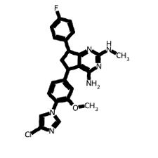 CNc1nc(N)c2c(n1)C(c1ccc(F)cc1)CC2c1ccc(-n2cnc(Cl)c2)c(OC)c1